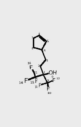 OC(CCC1C=CCC1)(C(F)(F)F)C(F)(F)F